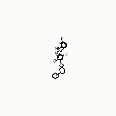 C[C@@H]1CCCN(C2CCCC3(C2)CN(c2cc(Cl)c(S(=O)(=O)Nc4cccc(F)n4)c(F)c2Cl)C3)C1